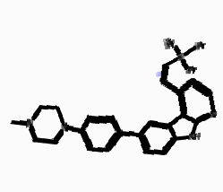 CC(C)[Si](/C=C\c1ccnc2[nH]c3ccc(-c4ccc(N5CCN(C)CC5)cc4)cc3c12)(C(C)C)C(C)C